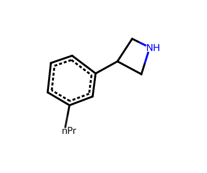 CCCc1cccc(C2CNC2)c1